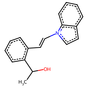 CC(O)c1ccccc1C=Cn1ccc2ccccc21